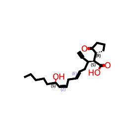 C#CC(C/C=C/C/C=C\[C@@H](O)CCCCC)[C@H](C(=O)O)[C@H]1CCCC1=O